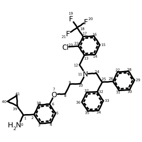 NC(c1cccc(OCCCN(Cc2cccc(C(F)(F)F)c2Cl)CC(c2ccccc2)c2ccccc2)c1)C1CC1